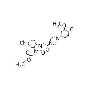 CCOC(=O)Cn1c(=O)n(CC(=O)N2CCN(c3ccc(Cl)c(OC)c3)CC2)c2ccc(Cl)cc21